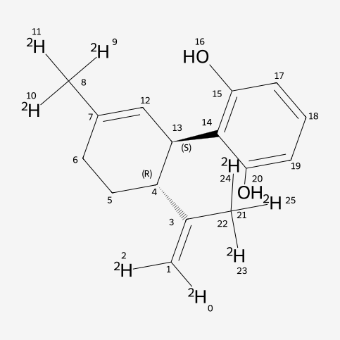 [2H]C([2H])=C([C@@H]1CCC(C([2H])([2H])[2H])=C[C@H]1c1c(O)cccc1O)C([2H])([2H])[2H]